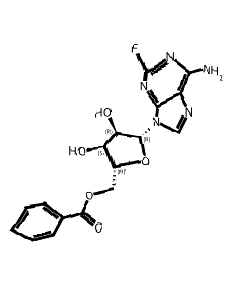 Nc1nc(F)nc2c1ncn2[C@@H]1O[C@H](COC(=O)c2ccccc2)[C@@H](O)[C@H]1O